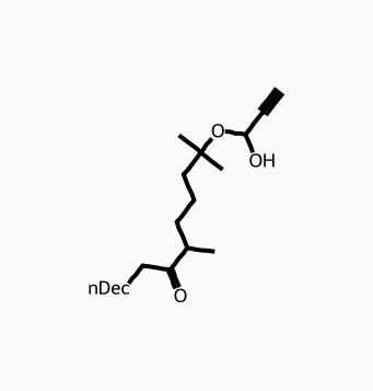 C#CC(O)OC(C)(C)CCCC(C)C(=O)CCCCCCCCCCC